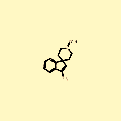 CC1=CC2(CCN(C(=O)O)CC2)c2ccccc21